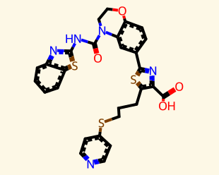 O=C(O)c1nc(-c2ccc3c(c2)N(C(=O)Nc2nc4ccccc4s2)CCO3)sc1CCCSc1ccncc1